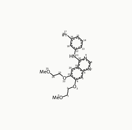 COCCOc1cc2ncnc(Nc3cccc(C(C)C)c3)c2cc1OCCOC